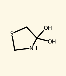 OC1(O)CSCN1